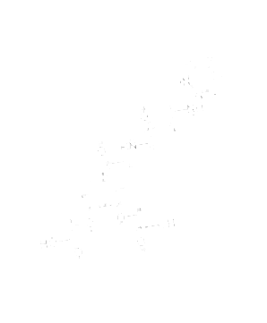 O=C(O)COc1ccc(C(=O)CNCC(=O)CCNc2ccccn2)cc1OCC(=O)O